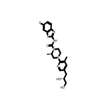 Cc1cc(C[C@@H](O)CO)cnc1N1CCN(C(=O)Nc2nc3ccc(F)cc3s2)[C@H](C)C1